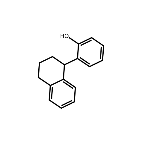 Oc1ccccc1C1CCCc2ccccc21